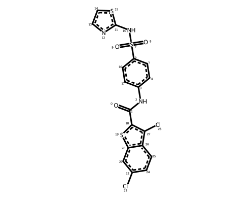 O=C(Nc1ccc(S(=O)(=O)Nc2nccs2)cc1)c1sc2cc(Cl)ccc2c1Cl